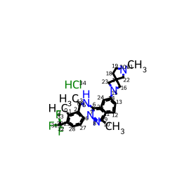 Cc1c([C@@H](C)Nc2nnc(C)c3ccc(N4CC5(CCN(C)C5)C4)cc23)cccc1C(F)(F)F.Cl